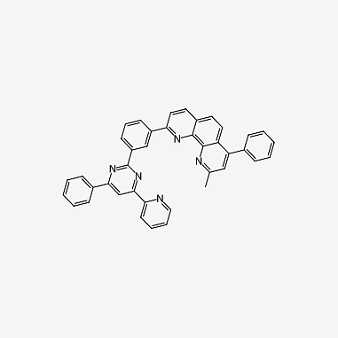 Cc1cc(-c2ccccc2)c2ccc3ccc(-c4cccc(-c5nc(-c6ccccc6)cc(-c6ccccn6)n5)c4)nc3c2n1